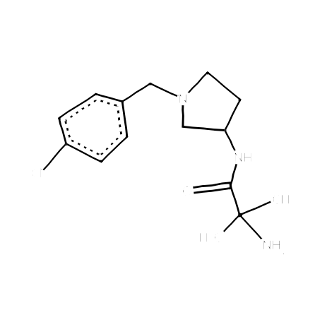 CC(C)(N)C(=O)NC1CCN(Cc2ccc(Cl)cc2)C1